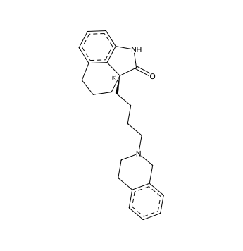 O=C1Nc2cccc3c2[C@@]1(CCCCN1CCc2ccccc2C1)CCC3